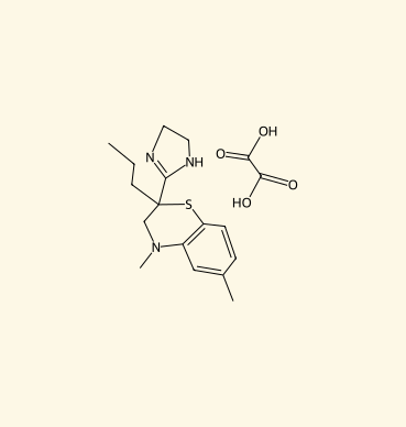 CCCC1(C2=NCCN2)CN(C)c2cc(C)ccc2S1.O=C(O)C(=O)O